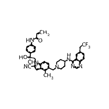 C=CC(=O)Nc1ccc([C@](C)(O)Cn2c(C#N)cc3c(C)c(CN4CCC(Nc5ncnc6ccc(CC(F)(F)F)cc56)CC4)ccc32)cc1